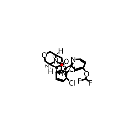 O=C(c1cccc(Cl)c1Cl)N1[C@H]2COC[C@@H]1c1nnc(-c3cc(OC(F)F)ccn3)n1C2